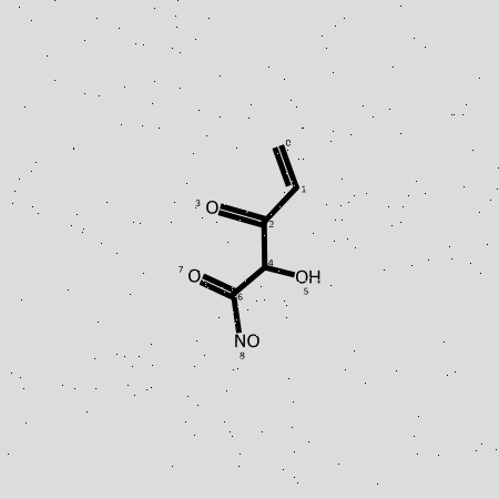 C=CC(=O)C(O)C(=O)N=O